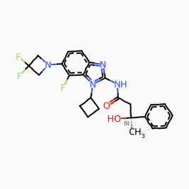 C[C@](O)(CC(=O)Nc1nc2ccc(N3CC(F)(F)C3)c(F)c2n1C1CCC1)c1ccccc1